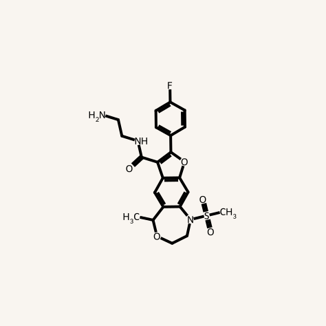 CC1OCCN(S(C)(=O)=O)c2cc3oc(-c4ccc(F)cc4)c(C(=O)NCCN)c3cc21